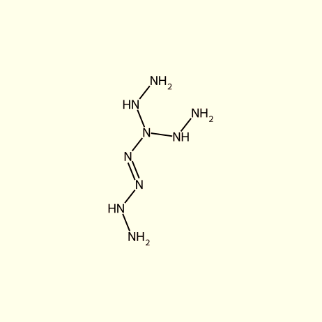 NNN=NN(NN)NN